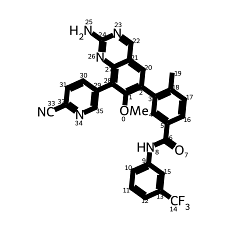 COc1c(-c2cc(C(=O)Nc3cccc(C(F)(F)F)c3)ccc2C)cc2cnc(N)nc2c1-c1ccc(C#N)nc1